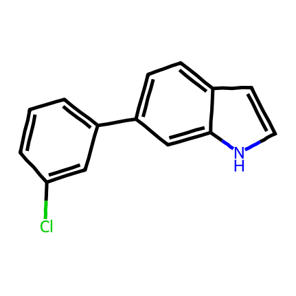 Clc1cccc(-c2ccc3cc[nH]c3c2)c1